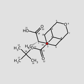 C[C@@H](OC1C2COCC1CN(C(=O)OC(C)(C)C)C2)C(=O)O